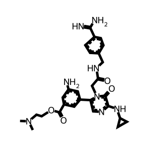 CN(C)CCOC(=O)c1cc(N)cc(-c2cnc(NC3CC3)c(=O)n2CC(=O)NCc2ccc(C(=N)N)cc2)c1